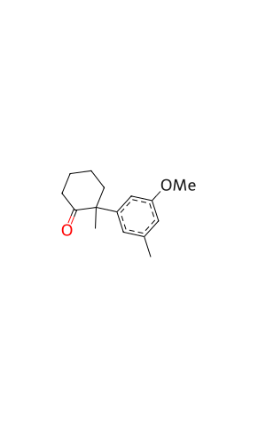 COc1cc(C)cc(C2(C)CCCCC2=O)c1